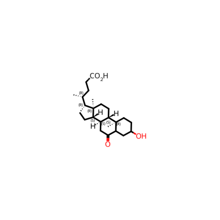 C[C@H](CCC(=O)O)[C@H]1CC[C@H]2[C@@H]3CC(=O)C4CC(O)CC[C@]4(C)[C@H]3CC[C@]12C